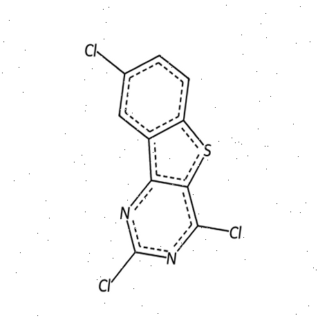 Clc1ccc2sc3c(Cl)nc(Cl)nc3c2c1